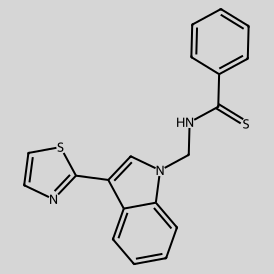 S=C(NCn1cc(-c2nccs2)c2ccccc21)c1ccccc1